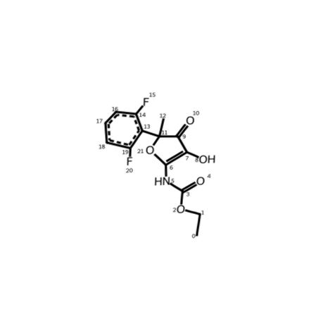 CCOC(=O)NC1=C(O)C(=O)C(C)(c2c(F)cccc2F)O1